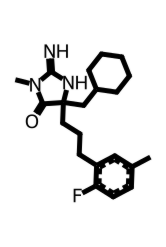 Cc1ccc(F)c(CCCC2(CC3CCCCC3)NC(=N)N(C)C2=O)c1